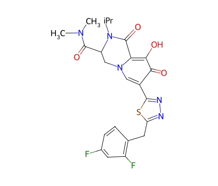 CC(C)N1C(=O)c2c(O)c(=O)c(-c3nnc(Cc4ccc(F)cc4F)s3)cn2CC1C(=O)N(C)C